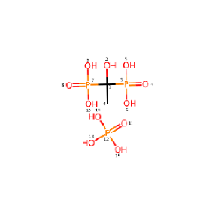 CC(O)(P(=O)(O)O)P(=O)(O)O.O=P(O)(O)O